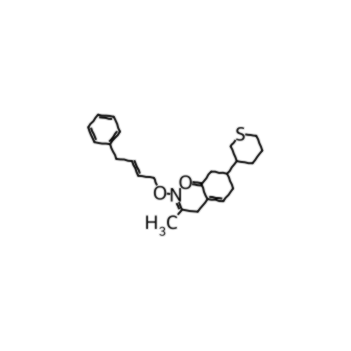 CC(CC1=CCC(C2CCCSC2)CC1=O)=NOCC=CCc1ccccc1